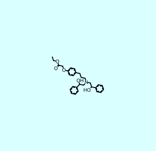 CCOC(=O)COc1ccc(CCCN(CC(O)c2ccccc2)CC(O)c2ccccc2)cc1